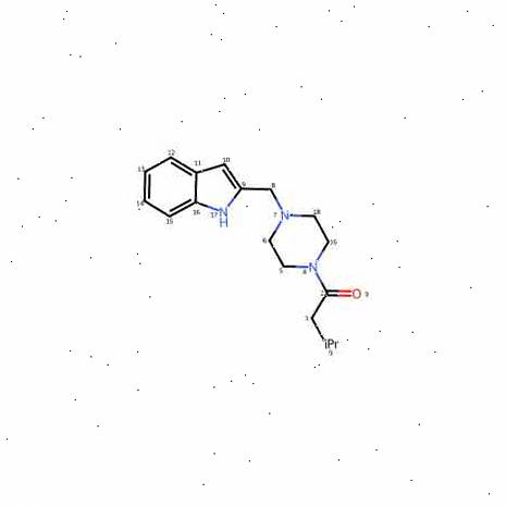 CC(C)CC(=O)N1CCN(Cc2cc3ccccc3[nH]2)CC1